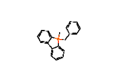 C[P]1(Cc2ccccc2)c2ccccc2-c2ccccc21